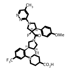 CC[C@H]1CN(C(=O)[C@]2(F)CN(c3cc(C)cnn3)C[C@H]2c2ccc(OC)cc2)C[C@@H]1c1ccc(C(F)(F)F)cc1N1CCC(C(=O)O)CC1